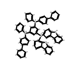 c1ccc(-c2ccc(N(c3ccccc3)c3cc(N(c4ccccc4)c4ccc(-c5ccccc5)cc4)cc(N(c4ccc5sc6ccccc6c5c4)c4cccc5c4oc4ccccc45)c3)cc2)cc1